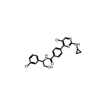 O=C(NC(CO)c1cccc(Cl)c1)c1ccc(-c2nc(NC3CC3)ncc2Cl)cc1